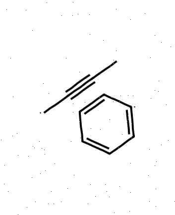 [CH2]C#CC.[c]1ccccc1